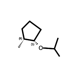 CC(C)O[C@H]1CCC[C@H]1C